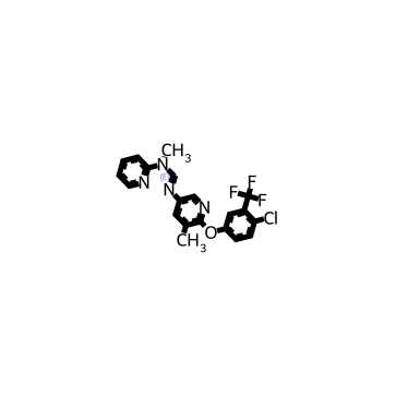 Cc1cc(/N=C/N(C)c2ccccn2)cnc1Oc1ccc(Cl)c(C(F)(F)F)c1